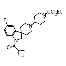 CCOC(=O)N1CCC(N2CCC3(CC2)CN(C(=O)C2CCC2)c2ccc(F)cc23)CC1